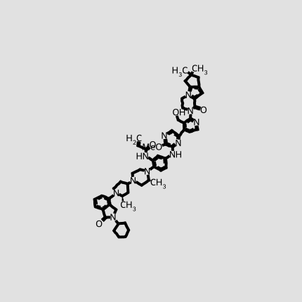 C=CC(=O)Nc1cc(Nc2nc(-c3ccnc(N4CCn5c(cc6c5CC(C)(C)C6)C4=O)c3CO)cnc2OC)ccc1N1CCN(C2CCN(c3cccc4c3CN(C3CCCCC3)C4=O)[C@H](C)C2)C[C@@H]1C